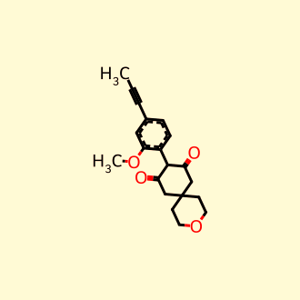 CC#Cc1ccc(C2C(=O)CC3(CCOCC3)CC2=O)c(OC)c1